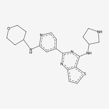 c1cc(-c2nc(NC3CCNC3)c3sccc3n2)cc(NC2CCOCC2)n1